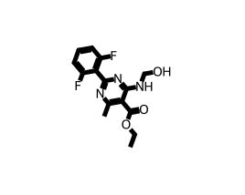 CCOC(=O)c1c(C)nc(-c2c(F)cccc2F)nc1NCO